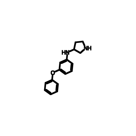 c1ccc(Oc2cccc(NC3CCNC3)c2)cc1